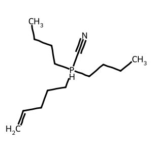 C=CCCC[PH](C#N)(CCCC)CCCC